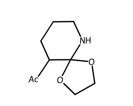 CC(=O)C1CCCNC12OCCO2